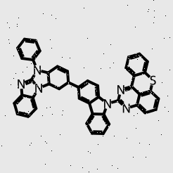 C1=CC2C(CC1c1ccc3c(c1)c1ccccc1n3-c1nc3c4c(cccc4n1)Sc1ccccc1-3)n1c(nc3ccccc31)N2c1ccccc1